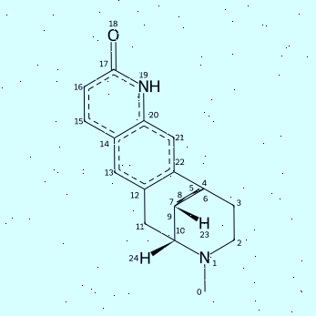 CN1CCC23CCCC[C@H]2[C@H]1Cc1cc2ccc(=O)[nH]c2cc13